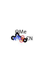 COc1cc(CNS(=O)(=O)c2cccc(C#N)c2)nc(-c2ccccn2)c1